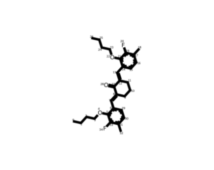 CCCCOc1c(/C=C2\CCC/C(=C\c3ccc(C)c(F)c3OCCCC)C2=O)ccc(C)c1F